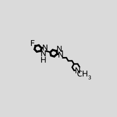 CN1CCC(CCCCn2cnc3cc(-c4nc5cc(F)ccc5[nH]4)ccc32)CC1